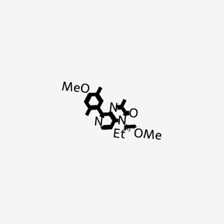 CC[C@H](COC)n1c(=O)c(C)nc2c(-c3cc(C)c(OC)cc3C)nccc21